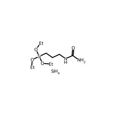 CCO[Si](CCCNC(N)=O)(OCC)OCC.[SiH4]